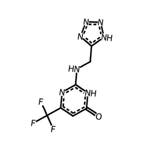 O=c1cc(C(F)(F)F)nc(NCc2nnn[nH]2)[nH]1